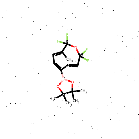 C\C1=C/C=C(B2OC(C)(C)C(C)(C)O2)\C=C\C(F)(F)OC1(F)F